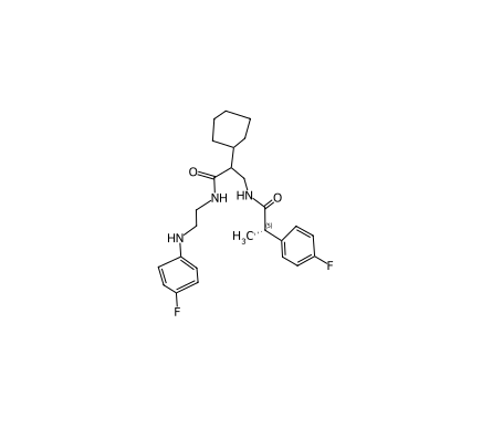 C[C@H](C(=O)NCC(C(=O)NCCNc1ccc(F)cc1)C1CCCCC1)c1ccc(F)cc1